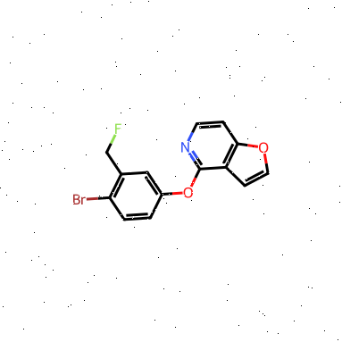 FCc1cc(Oc2nccc3occc23)ccc1Br